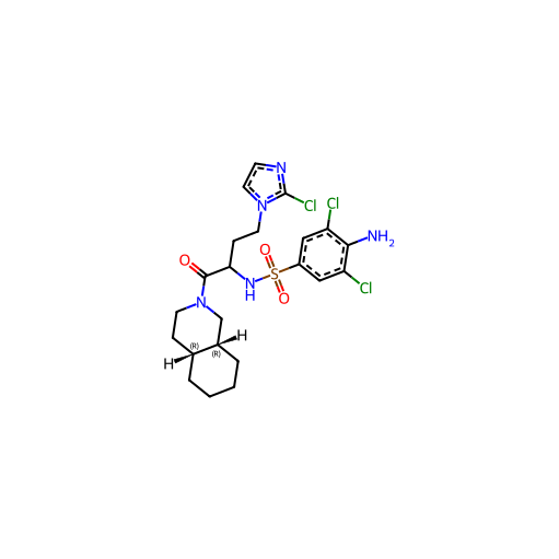 Nc1c(Cl)cc(S(=O)(=O)NC(CCn2ccnc2Cl)C(=O)N2CC[C@H]3CCCC[C@H]3C2)cc1Cl